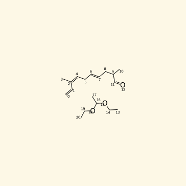 C=C/C(C)=C\C/C=C/CC(C)C=O.CCOC(C)OCC